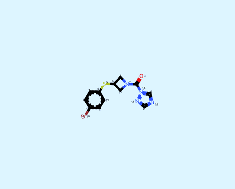 O=C(N1CC(Sc2ccc(Br)cc2)C1)n1cncn1